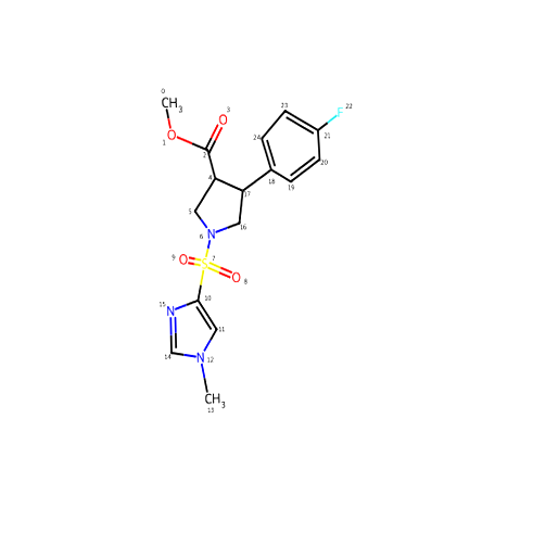 COC(=O)C1CN(S(=O)(=O)c2cn(C)cn2)CC1c1ccc(F)cc1